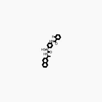 CC(NC(=O)N(S)c1ccc(NC(=O)c2ccccc2F)cc1)c1ccc2ccccc2c1